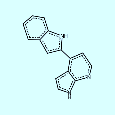 c1ccc2[nH]c(-c3ccnc4[nH]ccc34)cc2c1